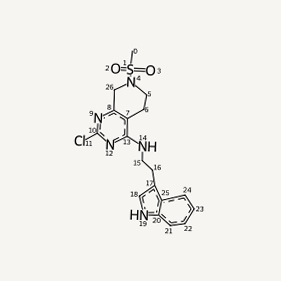 CS(=O)(=O)N1CCc2c(nc(Cl)nc2NCCc2c[nH]c3ccccc23)C1